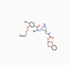 CCc1ccc(C(=O)N(C[C@@H]2CNC[C@H]2CN(C)C(=O)O[C@H]2COc3ccccc3O2)C(C)C)cc1OCCCOC